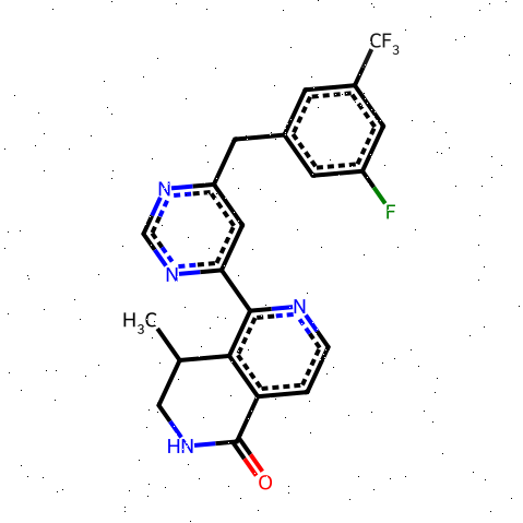 CC1CNC(=O)c2ccnc(-c3cc(Cc4cc(F)cc(C(F)(F)F)c4)ncn3)c21